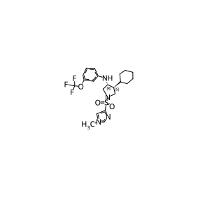 Cn1cnc(S(=O)(=O)N2C[C@H](Nc3cccc(OC(F)(F)F)c3)[C@@H](C3CCCCC3)C2)c1